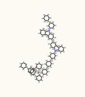 c1ccc(-c2cccc(-c3ccccc3C3(c4cccc(-c5ccc(-c6ccc(-n7c8ccccc8c8cc(-c9ccc%10c(c9)c9ccccc9n%10-c9cccc(-c%10ccccc%10)c9)ccc87)cc6)cc5)c4)c4ccccc4-c4ccccc43)c2)cc1